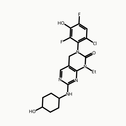 CCN1C(=O)N(c2c(Cl)cc(F)c(O)c2F)Cc2cnc(NC3CCC(O)CC3)nc21